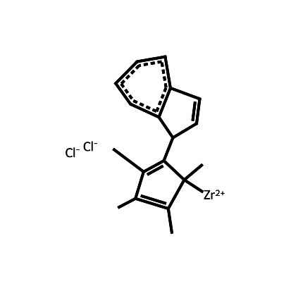 CC1=C(C)[C](C)([Zr+2])C(C2C=Cc3ccccc32)=C1C.[Cl-].[Cl-]